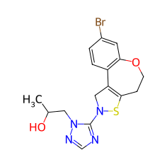 CC(O)Cn1ncnc1N1CC2=C(CCOc3cc(Br)ccc32)S1